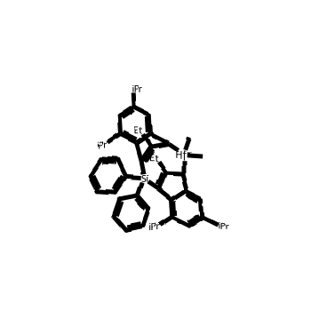 CCC1=C2c3c(C(C)C)cc(C(C)C)cc3[CH]1[Hf]([CH3])([CH3])[CH]1C(CC)=C(c3c(C(C)C)cc(C(C)C)cc31)[Si]2(c1ccccc1)c1ccccc1